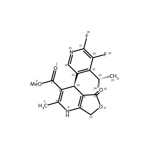 COC(=O)C1=C(C)NC2=C(C(=O)OC2)[C@@H]1c1cnc(F)c(F)c1[C@H](C)F